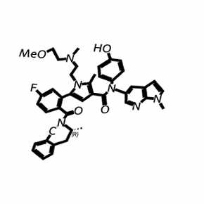 COCCN(C)CCn1c(-c2cc(F)ccc2C(=O)N2Cc3ccccc3C[C@H]2C)cc(C(=O)N(c2ccc(O)cc2)c2cnc3c(ccn3C)c2)c1C